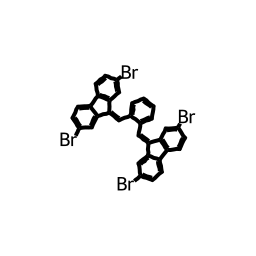 Brc1ccc2c(c1)C(=Cc1ccccc1C=C1c3cc(Br)ccc3-c3ccc(Br)cc31)c1cc(Br)ccc1-2